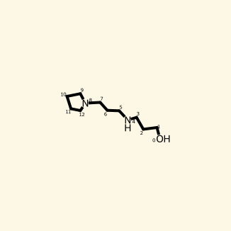 OCCCNCCCN1CCCC1